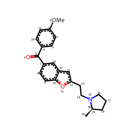 COc1ccc(C(=O)c2ccc3oc(CCN4CCC[C@H]4C)cc3c2)cc1